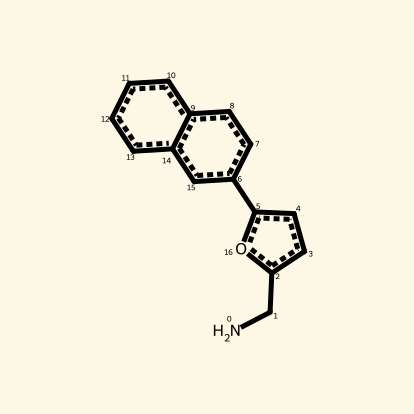 NCc1ccc(-c2ccc3ccccc3c2)o1